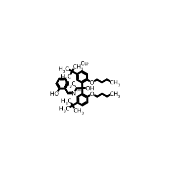 CCCCOc1ccc(C(C)(C)C)cc1C(O)(c1cc(C(C)(C)C)ccc1OCCCC)[C@@H](C)N=Cc1ccccc1O.[Cu]